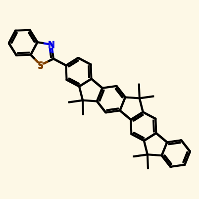 CC1(C)c2ccccc2-c2cc3c(cc21)-c1cc2c(cc1C3(C)C)-c1ccc(-c3nc4ccccc4s3)cc1C2(C)C